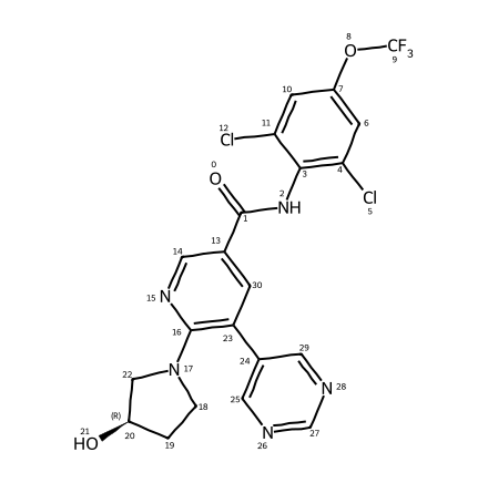 O=C(Nc1c(Cl)cc(OC(F)(F)F)cc1Cl)c1cnc(N2CC[C@@H](O)C2)c(-c2cncnc2)c1